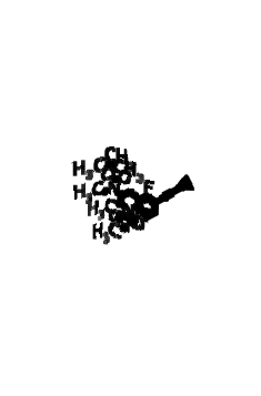 CCN(C(=O)OC(C)(C)C)C(Cc1cccc(C#CC2CC2)c1F)C(C)NS(=O)(=O)CC